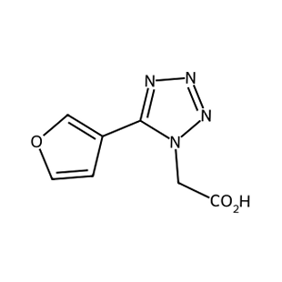 O=C(O)Cn1nnnc1-c1ccoc1